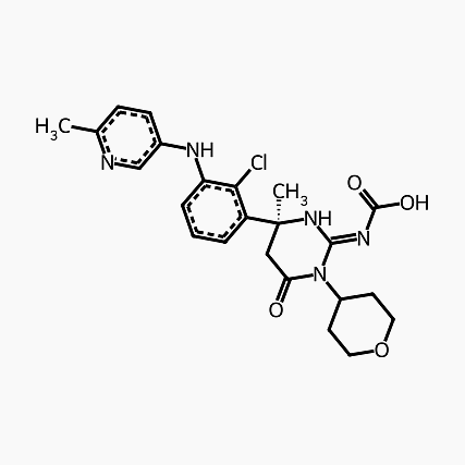 Cc1ccc(Nc2cccc([C@]3(C)CC(=O)N(C4CCOCC4)C(=NC(=O)O)N3)c2Cl)cn1